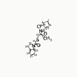 Cc1oc(-c2ccccc2Cl)nc1CSCC(=O)N1CCc2ccccc21